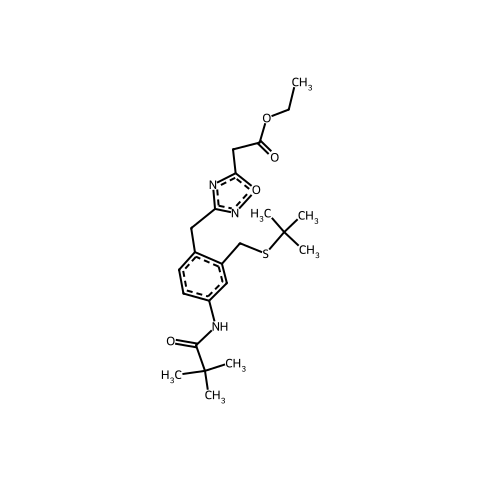 CCOC(=O)Cc1nc(Cc2ccc(NC(=O)C(C)(C)C)cc2CSC(C)(C)C)no1